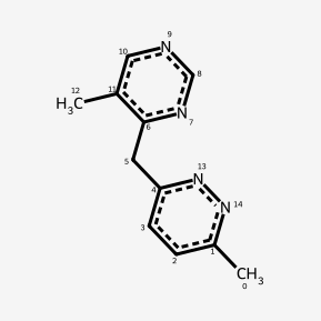 Cc1ccc(Cc2ncncc2C)nn1